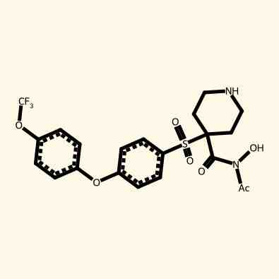 CC(=O)N(O)C(=O)C1(S(=O)(=O)c2ccc(Oc3ccc(OC(F)(F)F)cc3)cc2)CCNCC1